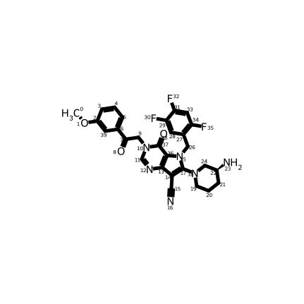 COc1cccc(C(=O)Cn2cnc3c(C#N)c(N4CCC[C@H](N)C4)n(Cc4cc(F)c(F)cc4F)c3c2=O)c1